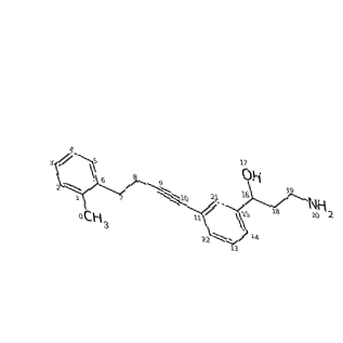 Cc1ccccc1CCC#Cc1cccc(C(O)CCN)c1